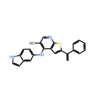 C=C(c1ccccc1)c1cc2c(Nc3ccc4[nH]ccc4c3)c(C#N)cnc2s1